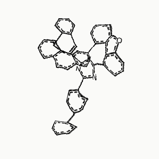 C1=C(c2nc(-c3ccc(-c4ccccc4)cc3)nc(-c3cccc4oc5cccc(-c6ccc7ccc8ccccc8c7c6)c5c34)n2)CCc2ccccc21